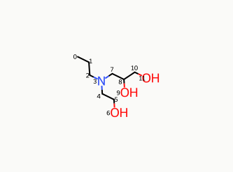 CCCN(CCO)CC(O)CO